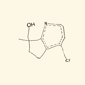 CC1(O)CCc2c(Cl)ccnc21